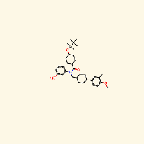 COc1ccc([C@H]2CC[C@H](CN(C(=O)C3CCC(O[Si](C)(C)C(C)(C)C)CC3)c3cccc(O)c3)CC2)cc1C